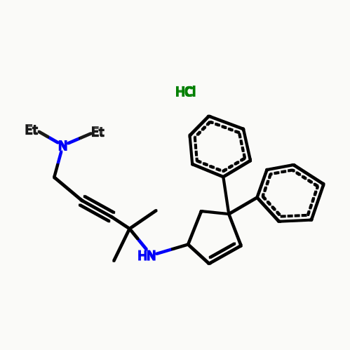 CCN(CC)CC#CC(C)(C)NC1C=CC(c2ccccc2)(c2ccccc2)C1.Cl